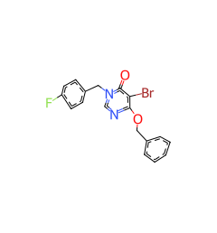 O=c1c(Br)c(OCc2ccccc2)ncn1Cc1ccc(F)cc1